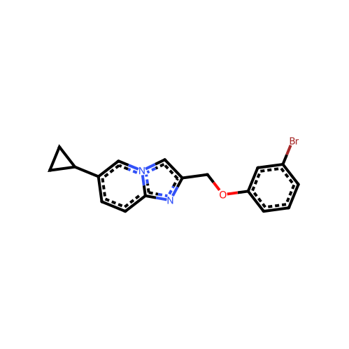 Brc1cccc(OCc2cn3cc(C4CC4)ccc3n2)c1